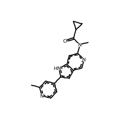 Cc1cc(-c2cc3cnc(N(C)C(=O)C4CC4)cc3[nH]2)ccn1